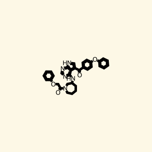 O=C(c1ccc(Oc2ccccc2)cc1)c1c[nH]c2ncnc(NC3CCCCN(C(=O)COc4ccccc4)C3)c12